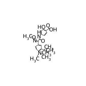 CCN(CC)c1ccc(C(=NOC)C(=O)Nc2ccc(C(=O)O)c(O)c2)cc1C(C)(C)C